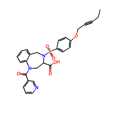 CCC#CCOc1ccc(S(=O)(=O)N2Cc3ccccc3N(C(=O)c3cccnc3)CC2C(=O)O)cc1